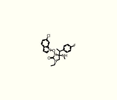 CCN1CC(NC)(C(C)c2ccc(F)cc2)N(On2ccc3ccc(Cl)cc32)C1=O